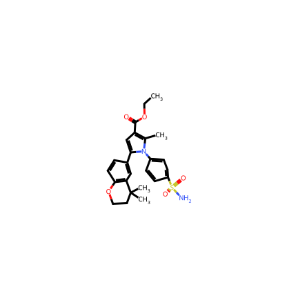 CCOC(=O)c1cc(-c2ccc3c(c2)C(C)(C)CCO3)n(-c2ccc(S(N)(=O)=O)cc2)c1C